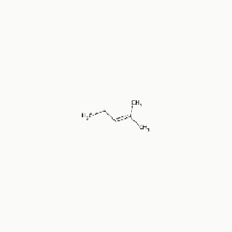 C[C]C=C(C)C